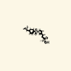 CN(C)Cc1ccc(S(=O)(=O)n2ccc(C=CC(=O)NO)c2)cc1